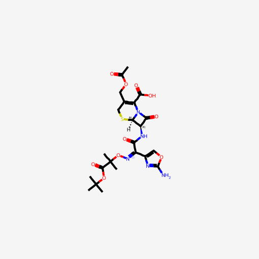 CC(=O)OCC1=C(C(=O)O)N2C(=O)[C@@H](NC(=O)/C(=N\OC(C)(C)C(=O)OC(C)(C)C)c3coc(N)n3)[C@H]2SC1